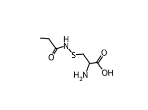 CCC(=O)NSCC(N)C(=O)O